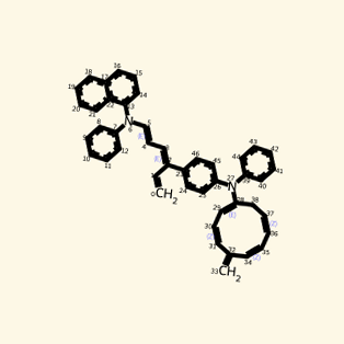 C=C/C(=C\C=C\N(c1ccccc1)c1cccc2ccccc12)c1ccc(N(/C2=C/C=C\C(=C)/C=C\C=C/C2)c2ccccc2)cc1